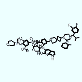 Cc1ccccc1[C@@H]1CN(C(c2ccc(F)c(F)c2)C(C)C)CCN1C1CC2(CCN(c3ccc(C(=O)NS(=O)(=O)c4cc5c(c([N+](=O)[O-])c4)N[C@H](C4CCOCC4)CO5)c(N4c5cc6cc[nH]c6nc5O[C@H]5COCC[C@@H]54)c3)CC2)C1